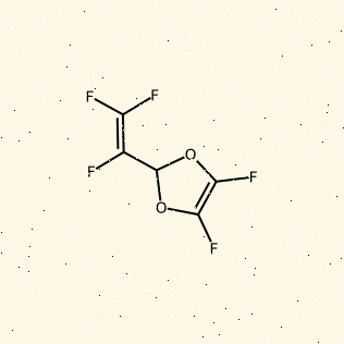 FC(F)=C(F)C1OC(F)=C(F)O1